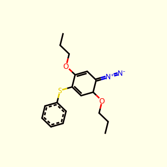 CCCOC1=CC(=[N+]=[N-])C(OCCC)C=C1Sc1ccccc1